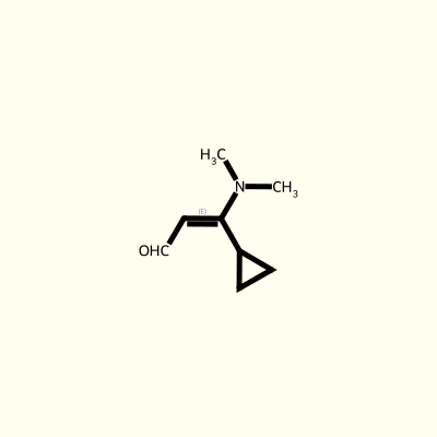 CN(C)/C(=C/C=O)C1CC1